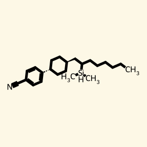 CCCCCCC(C[C@H]1CC[C@H](c2ccc(C#N)cc2)CC1)[SiH](C)C